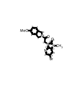 COc1ccc2c(c1)CN(C(=O)Cn1c(=O)n(C)c3cc(Br)cnc31)C2